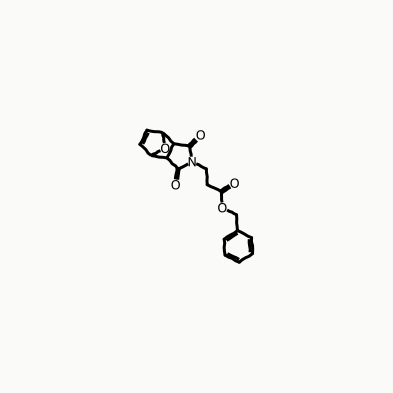 O=C(CCN1C(=O)C2C3C=CC(O3)C2C1=O)OCc1ccccc1